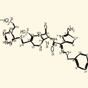 Nc1nc(/C(=N\OCc2ccccc2)C(=O)NC2C(=O)N3C(C(=O)O)=C(CSc4nnnn4CC(=O)O)CS[C@H]23)cs1